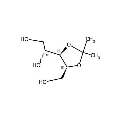 CC1(C)O[C@H]([C@H](O)CO)[C@H](CO)O1